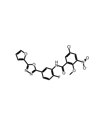 COc1c(C(=O)Nc2cc(-c3nnc(-c4ccco4)o3)ccc2F)cc(Cl)cc1[N+](=O)[O-]